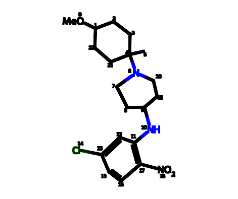 COC1CCC(C)(N2CCC(Nc3cc(Cl)ccc3[N+](=O)[O-])CC2)CC1